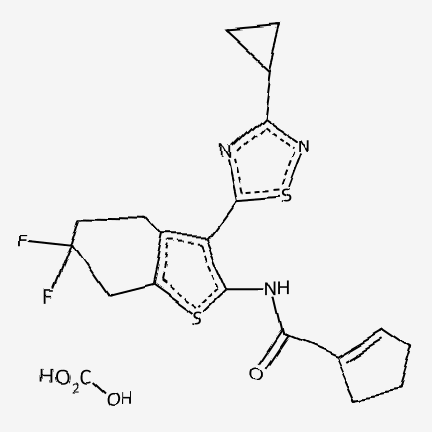 O=C(Nc1sc2c(c1-c1nc(C3CC3)ns1)CCC(F)(F)C2)C1=CCCC1.O=C(O)O